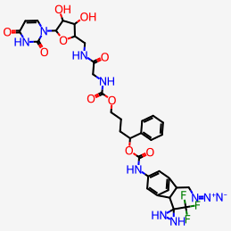 [N-]=[N+]=NCC1c2cc(NC(=O)OC(CCCOC(=O)NCC(=O)NCC3OC(n4ccc(=O)[nH]c4=O)C(O)C3O)c3ccccc3)cc(c2)C1C1(C(F)(F)F)NN1